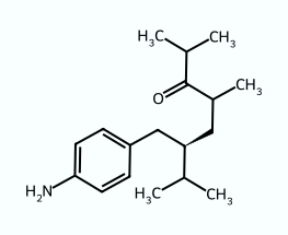 CC(C)C(=O)C(C)C[C@H](Cc1ccc(N)cc1)C(C)C